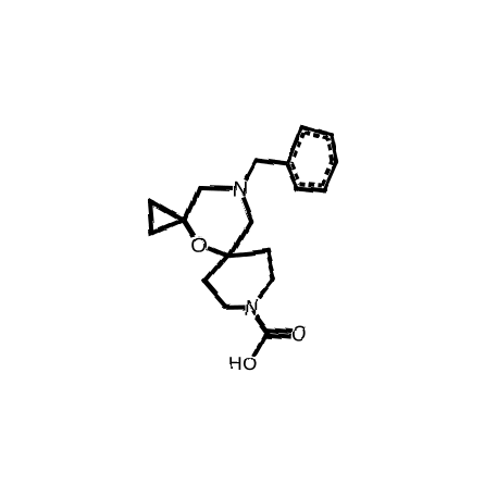 O=C(O)N1CCC2(CC1)CN(Cc1ccccc1)CC1(CC1)O2